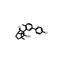 Cc1ccc(-c2ccc(Cl)cc2)cc1C1=C(O)C2(C)CCC(C1=O)C2(C)C